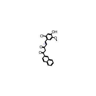 COc1cc(/C=C/C(=O)CC(=O)c2ccc3ccccc3c2)c(Cl)cc1O